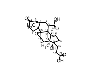 C[C@]12CCC(=O)C=C1CC(C(=O)O)[C@H]1[C@@H]3CC[C@](O)(CCC(=O)O)[C@@]3(C)CC3OC312